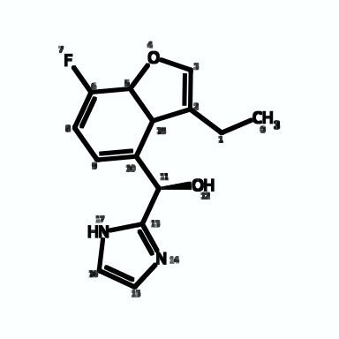 CCC1=COC2C(F)=CC=C([C@@H](O)c3ncc[nH]3)C12